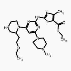 CCOCCC1CNCCN1c1cc(N2CCN(C)CC2)nc(Nc2nc(C)c(C(=O)OCC)s2)n1